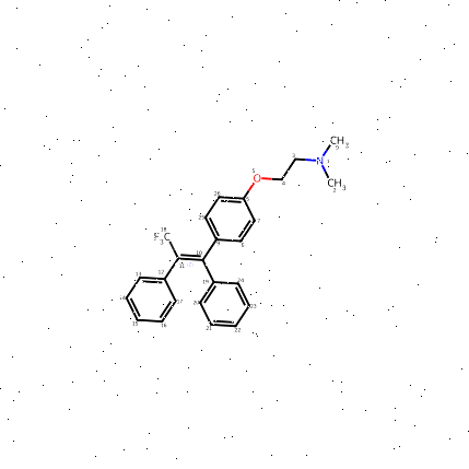 CN(C)CCOc1ccc(/C(=C(/c2ccccc2)C(F)(F)F)c2ccccc2)cc1